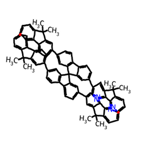 CC1(C)c2ccccc2-c2ccc(-c3ccc4c(c3)C3(c5cc(-c6ccc7c(c6)C(C)(C)c6ccccc6-7)ccc5-c5ccc(-c6cnc7c(c6)C(C)(C)c6cccnc6-7)cc53)c3cc(-c5cnc6c(c5)C(C)(C)c5cccnc5-6)ccc3-4)cc21